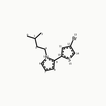 CC(C)CCn1cccc1-c1cc(Br)cs1